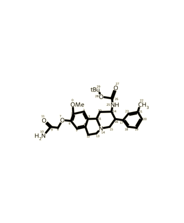 COc1cc2c(cc1OCC(N)=O)CCN1CC(c3cccc(C)c3)C(NC(=O)OC(C)(C)C)CC21